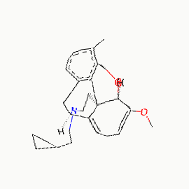 COC1=CC=C2[C@H]3Cc4ccc(C)c5c4[C@@]2(CCN3CC2CC2)[C@H]1O5